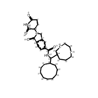 O=C1CCC(N2Cc3cc(C(=O)NC(C4CCCCCCCCC4)C4CCCCCCCC4)ccc3C2=O)C(=O)N1